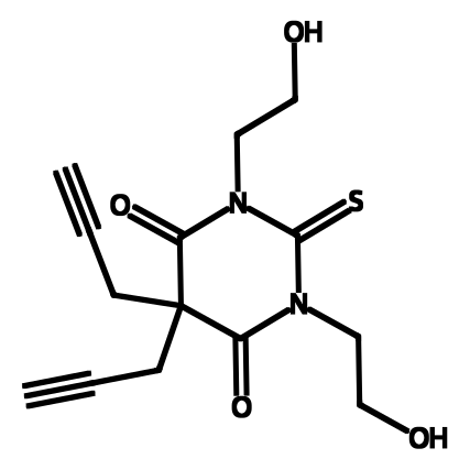 C#CCC1(CC#C)C(=O)N(CCO)C(=S)N(CCO)C1=O